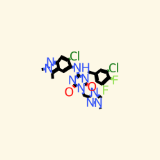 Cc1c2cc(Nc3nc(=O)n(Cc4ncn(C)n4)c(=O)n3Cc3cc(F)c(F)c(Cl)c3)c(Cl)cc2nn1C